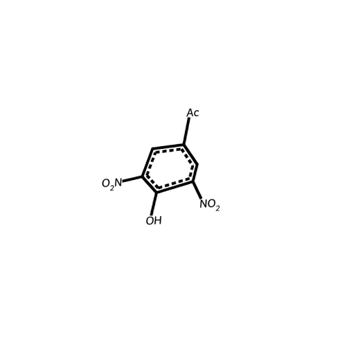 CC(=O)c1cc([N+](=O)[O-])c(O)c([N+](=O)[O-])c1